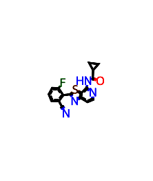 N#Cc1cccc(F)c1-c1nc2ccnc(NC(=O)C3CC3)c2s1